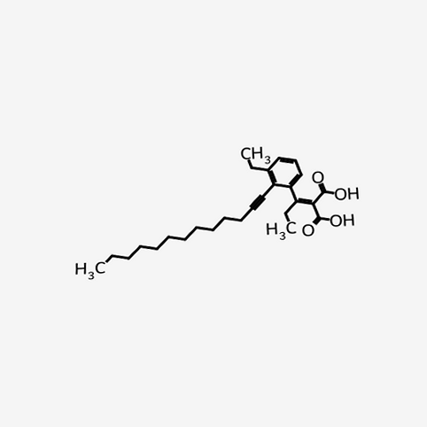 CCCCCCCCCCCC#Cc1c(CC)cccc1C(CC)=C(C(=O)O)C(=O)O